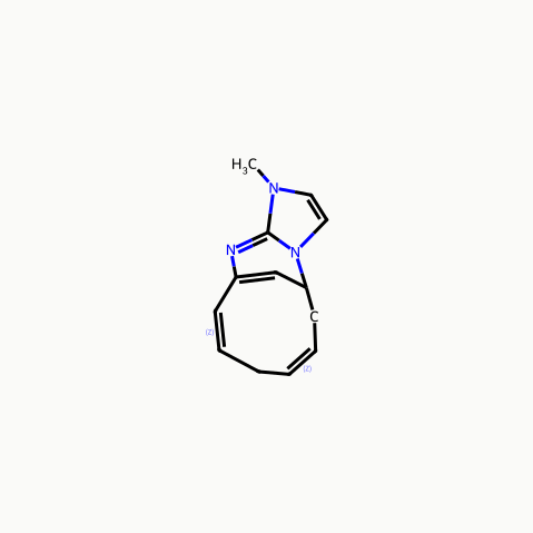 CN1C=CN2C1=NC1=CC2C/C=C\C/C=C\1